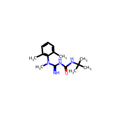 Cc1cccc(C)c1N(C)C(=N)NC(=O)NC(C)(C)C